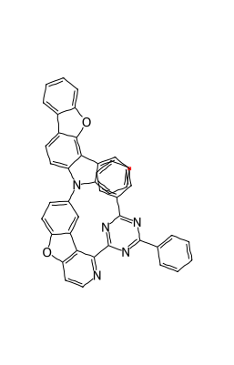 c1ccc(-c2nc(-c3ccccc3)nc(-c3nccc4oc5ccc(-n6c7ccccc7c7c8oc9ccccc9c8ccc76)cc5c34)n2)cc1